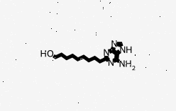 Nc1nc(CCCCCCCCCO)nc2nc[nH]c12